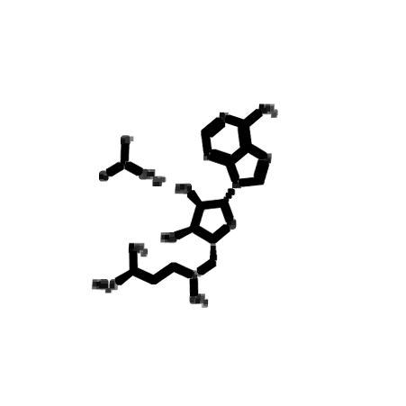 C[S+](CC[C@H](N)C(=O)O)C[C@H]1O[C@@H](n2cnc3c(N)ncnc32)[C@H](O)[C@@H]1O.[Li+].[O-]B([O-])O